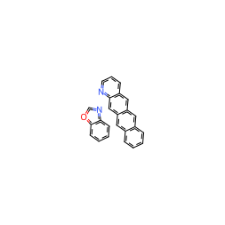 c1ccc2cc3cc4ncccc4cc3cc2c1.c1ccc2ocnc2c1